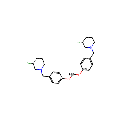 FC1CCCN(Cc2ccc(OBOc3ccc(CN4CCCC(F)C4)cc3)cc2)C1